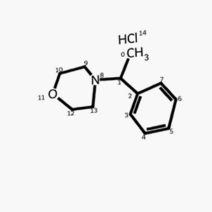 CC(c1ccccc1)N1CCOCC1.Cl